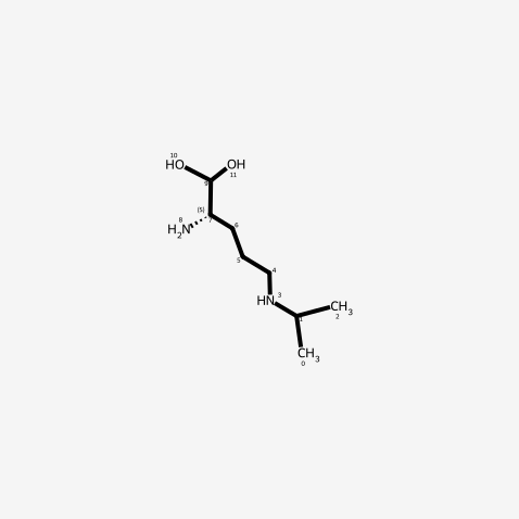 CC(C)NCCC[C@H](N)C(O)O